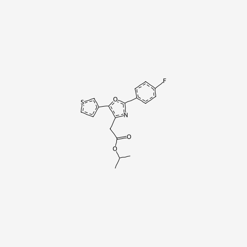 CC(C)OC(=O)Cc1nc(-c2ccc(F)cc2)oc1-c1ccsc1